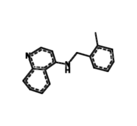 Cc1ccccc1CNc1ccnc2ccccc12